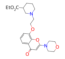 CCOC(=O)C1CCCN(CCOc2cccc3c(=O)cc(N4CCOCC4)oc23)C1